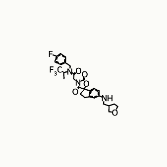 C[C@H](N(Cc1ccc(F)cc1)C(=O)CN1C(=O)O[C@@]2(CCc3cc(NCC4CCOC4)ccc32)C1=O)C(F)(F)F